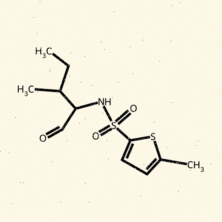 CCC(C)C(C=O)NS(=O)(=O)c1ccc(C)s1